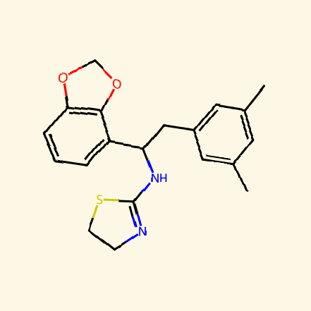 Cc1cc(C)cc(CC(NC2=NCCS2)c2cccc3c2OCO3)c1